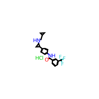 Cl.O=C(Nc1ccc(C2CC2NCC2CC2)cc1)c1cccc(C(F)(F)F)c1